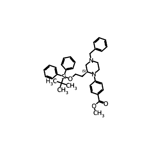 COC(=O)c1ccc(N2CCN(Cc3ccccc3)C[C@@H]2CCO[Si](c2ccccc2)(c2ccccc2)C(C)(C)C)cc1